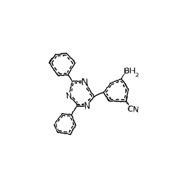 Bc1cc(C#N)cc(-c2nc(-c3ccccc3)nc(-c3ccccc3)n2)c1